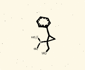 CC(C)(C)N(C(=O)O)C1(CO)CC1c1ccccc1